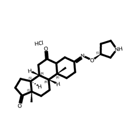 C[C@]12CCC(=NO[C@H]3CCNC3)CC1C(=O)C[C@@H]1[C@H]2CC[C@]2(C)C(=O)CC[C@@H]12.Cl